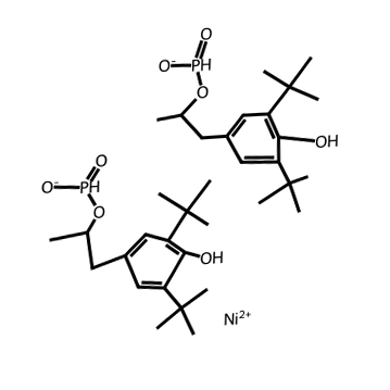 CC(Cc1cc(C(C)(C)C)c(O)c(C(C)(C)C)c1)O[PH](=O)[O-].CC(Cc1cc(C(C)(C)C)c(O)c(C(C)(C)C)c1)O[PH](=O)[O-].[Ni+2]